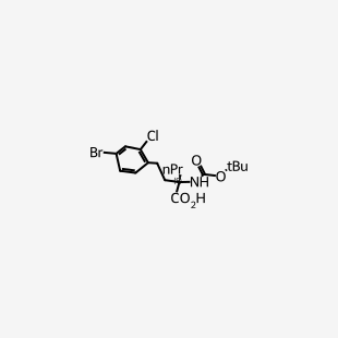 CCC[C@@](CCc1ccc(Br)cc1Cl)(NC(=O)OC(C)(C)C)C(=O)O